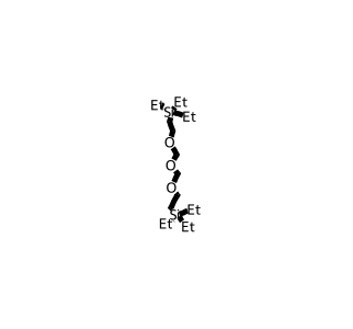 CC[Si](CC)(CC)CCOCOCOCC[Si](CC)(CC)CC